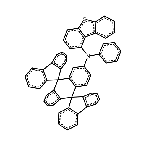 c1ccc(N(c2ccc3c(c2)C2(c4ccccc4-c4ccccc42)c2ccccc2C32c3ccccc3-c3ccccc32)c2cccc3sc4ccccc4c23)cc1